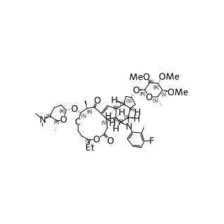 CC[C@H]1CCC[C@H](O[C@H]2CC[C@H](N(C)C)[C@@H](C)O2)[C@@H](C)C(=O)C2=C[C@H]3[C@@H]4C[C@H](O[C@@H]5O[C@@H](C)[C@H](OC)[C@@H](OC)[C@H]5OC)C[C@H]4[C@H]4[C@@H]([C@H]3[C@@H]2CC(=O)O1)N4c1cccc(F)c1C